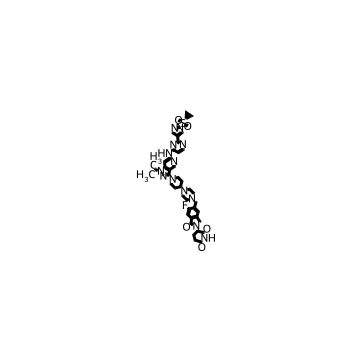 CC(C)n1nc(N2CCC(N3CCN(Cc4cc5c(cc4F)C(=O)N(C4CCC(=O)NC4=O)C5)CC3)CC2)c2cnc(Nc3ccnc(-c4cnn(S(=O)(=O)C5CC5)c4)n3)cc21